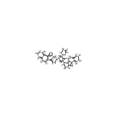 c1ccc(-c2nc(-c3ccc4c(c3)oc3c5ccccc5ccc43)nc(-c3cccc4oc5c6ccccc6ccc5c34)n2)cc1